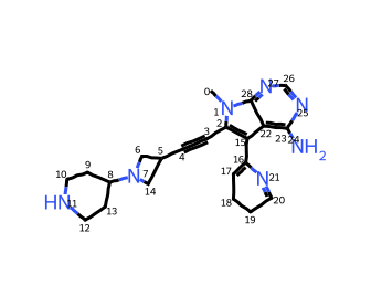 Cn1c(C#CC2CN(C3CCNCC3)C2)c(C2=CCCC=N2)c2c(N)ncnc21